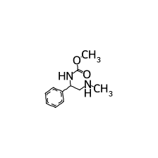 CNCC(NC(=O)OC)c1ccccc1